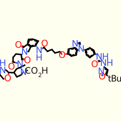 CC(C)(C)c1cc(NC(=O)Nc2ccc(-n3cnc4cc(OCCCCC(=O)Nc5cccc6c5CN(C5CCC(=O)N(C7(C)CC(C8CNCCO8)CCN7C(=O)O)C5=O)C6=O)ccc43)cc2)no1